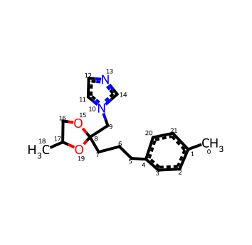 Cc1ccc(CCCC2(Cn3ccnc3)OCC(C)O2)cc1